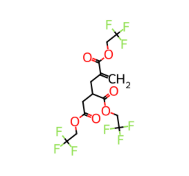 C=C(CC(CC(=O)OCC(F)(F)F)C(=O)OCC(F)(F)F)C(=O)OCC(F)(F)F